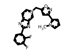 Cn1cccc1-c1cc(Cn2ccc3nc(-c4cccc(F)c4F)nc-3c2)on1